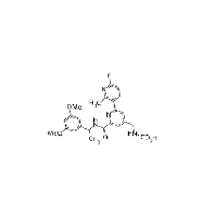 COc1cc(OC)cc(C(C)NC(=O)c2cc(CNC(=O)O)cc(-c3ccc(F)nc3C)n2)c1